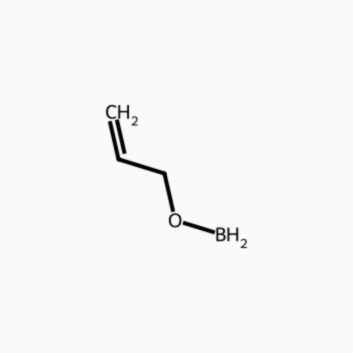 BOCC=C